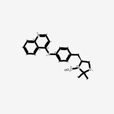 CC1(C)OC[C@H](Cc2ccc(Sc3ccnc4ccccc34)cc2)N1C(=O)O